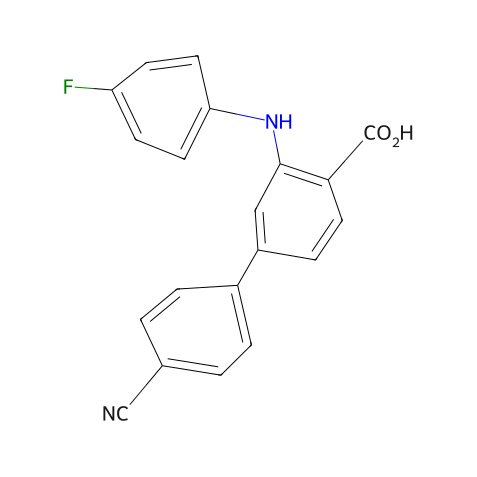 N#Cc1ccc(-c2ccc(C(=O)O)c(Nc3ccc(F)cc3)c2)cc1